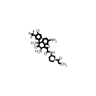 C=CC(=O)N1CCCC(NC(=O)c2sc3c(N)ccc4c3c2C(N)C(=O)C4(N)c2ccc(Cl)c(C(F)(F)F)c2)C1